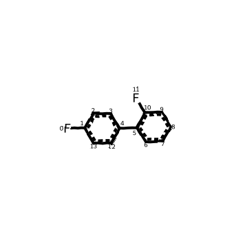 Fc1ccc(-c2cc[c]cc2F)cc1